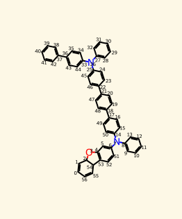 C1=CC2Oc3cc(N(c4ccccc4)c4ccc(-c5ccc(-c6ccc(N(c7ccccc7)c7ccc(-c8ccccc8)cc7)cc6)cc5)cc4)ccc3C2C=C1